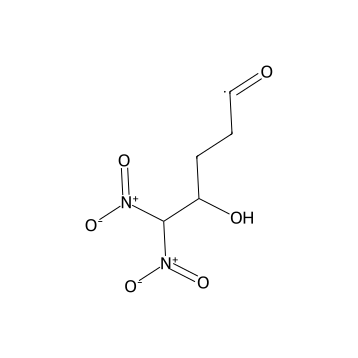 O=[C]CCC(O)C([N+](=O)[O-])[N+](=O)[O-]